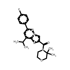 CC(C)c1cc(-c2ccc(F)cc2)nn2cc(C(=O)N3CCOCC3(C)C)nc12